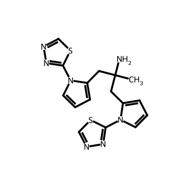 CC(N)(Cc1cccn1-c1nncs1)Cc1cccn1-c1nncs1